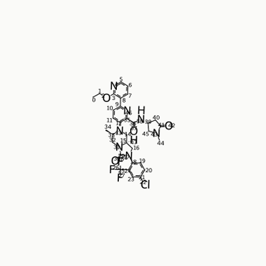 CCOc1ncccc1-c1ccc(N2C[C@H]3CN(c4ccc(Cl)cc4C(F)(F)F)C(=O)N3C[C@H]2C)c(C(=O)N[C@@H]2CC(=O)N(C)C2)n1